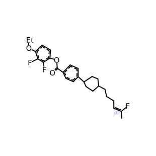 CCOc1ccc(OC(=O)c2ccc(C3CCC(CCC/C=C(/C)F)CC3)cc2)c(F)c1F